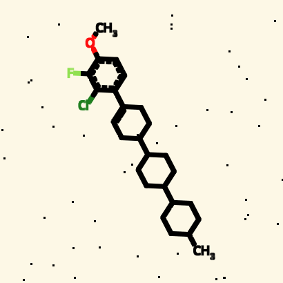 COc1ccc(C2=CCC(C3CCC(C4CCC(C)CC4)CC3)CC2)c(Cl)c1F